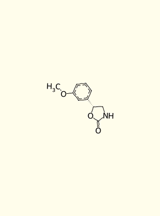 COc1cccc([C@@H]2CNC(=O)O2)c1